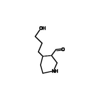 O=CC1CNCCC1CCCO